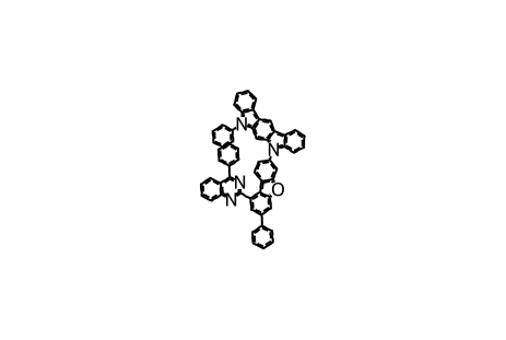 c1ccc(-c2cc(-c3nc(-c4ccccc4)c4ccccc4n3)c3c(c2)oc2cc(-n4c5ccccc5c5cc6c7ccccc7n(-c7ccccc7)c6cc54)ccc23)cc1